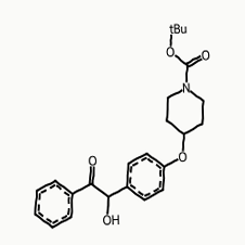 CC(C)(C)OC(=O)N1CCC(Oc2ccc(C(O)C(=O)c3ccccc3)cc2)CC1